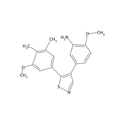 COc1ccc(-c2cnsc2-c2cc(C)c(C)c(OC)c2)cc1N